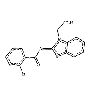 O=C(O)Cn1/c(=N/C(=O)c2ccccc2Cl)sc2ccccc21